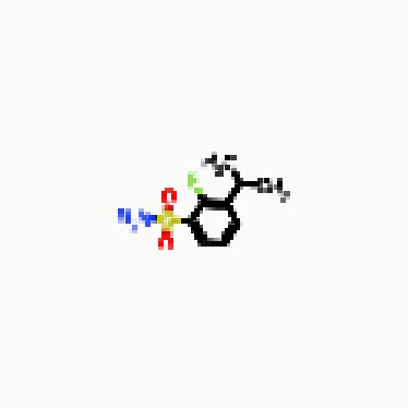 CC(C)c1cccc(S(N)(=O)=O)c1F